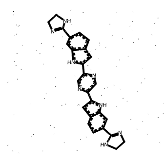 c1cc2cc(-c3cnc(-c4cc5ccc(C6=NCCN6)cc5[nH]4)cn3)[nH]c2cc1C1=NCCN1